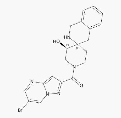 O=C(c1cc2ncc(Br)cn2n1)N1CC[C@]2(Cc3ccccc3CN2)[C@H](O)C1